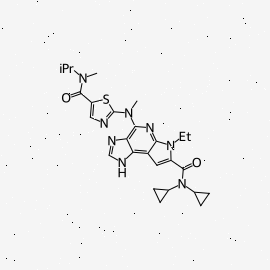 CCn1c(C(=O)N(C2CC2)C2CC2)cc2c3[nH]cnc3c(N(C)c3ncc(C(=O)N(C)C(C)C)s3)nc21